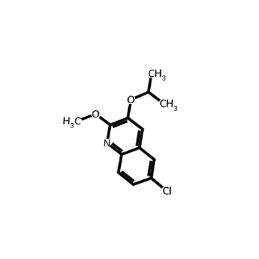 COc1nc2ccc(Cl)cc2cc1OC(C)C